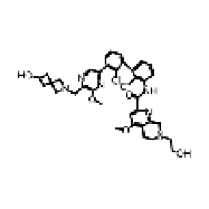 COc1cc(C(=O)Nc2cccc(-c3cccc(-c4cnc(CN5CC6(CC(O)C6)C5)c(OC)n4)c3Cl)c2Cl)nc2c1CCN(CCO)C2